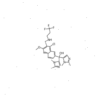 COc1nc2ccc(C(O)(c3cnc(C)n3C)c3cnc(C)n3C)cc2c(Cl)c1CNCCC(F)(F)F